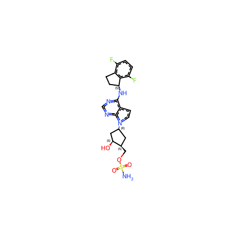 NS(=O)(=O)OC[C@@H]1C[C@@H](n2ccc3c(N[C@H]4CCc5c(F)ccc(F)c54)ncnc32)C[C@@H]1O